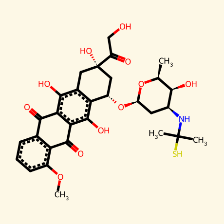 COc1cccc2c1C(=O)c1c(O)c3c(c(O)c1C2=O)C[C@@](O)(C(=O)CO)C[C@@H]3O[C@@H]1C[C@H](NC(C)(C)S)[C@H](O)[C@H](C)O1